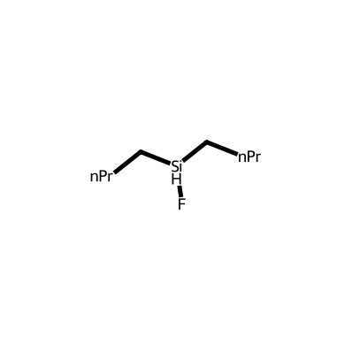 CCCC[SiH](F)CCCC